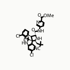 COC(=O)c1ccc(NC(=O)[C@@H]2N[C@@H](CC(C)(C)C#N)[C@@]3(C(=O)Nc4cc(Cl)ccc43)[C@H]2c2cccc(Cl)c2F)cn1